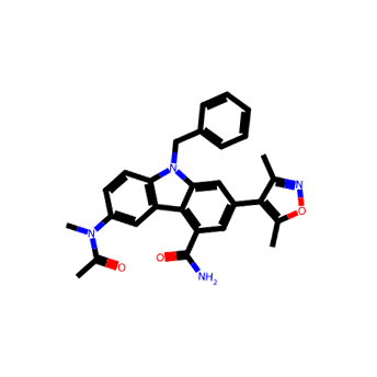 CC(=O)N(C)c1ccc2c(c1)c1c(C(N)=O)cc(-c3c(C)noc3C)cc1n2Cc1ccccc1